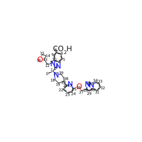 C[C@@H](c1nc2ccc(C(=O)O)cc2n1C[C@@H]1CCO1)N1CCC(c2cccc(OCc3cc4ccccn4n3)n2)CC1